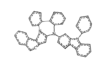 c1ccc(-n2c3ccccc3c3ccc(N4c5ccccc5-c5ccccc5-n5c4cc4ccc6ccccc6c45)cc32)cc1